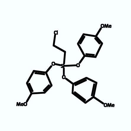 COc1ccc(O[Si](CCCl)(Oc2ccc(OC)cc2)Oc2ccc(OC)cc2)cc1